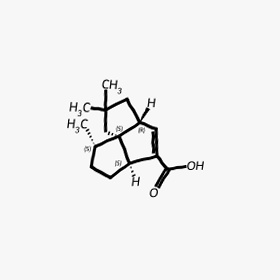 C[C@H]1CC[C@@H]2C(C(=O)O)=C[C@H]3CC(C)(C)C[C@]213